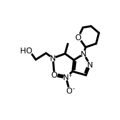 CC(c1c([N+](=O)[O-])cnn1C1CCCCO1)N(C)CCO